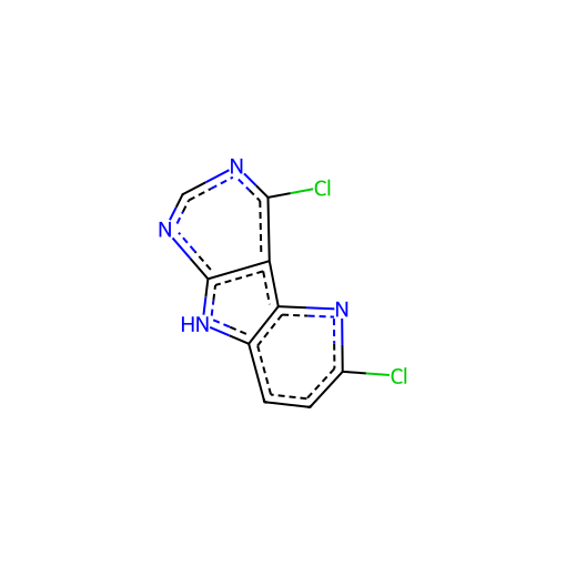 Clc1ccc2[nH]c3ncnc(Cl)c3c2n1